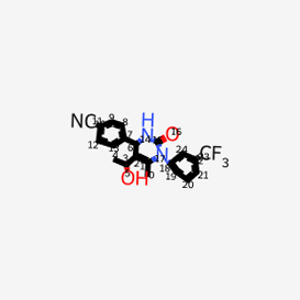 CC1=C(C(C)O)C(c2ccc(C#N)cc2)NC(=O)N1c1cccc(C(F)(F)F)c1